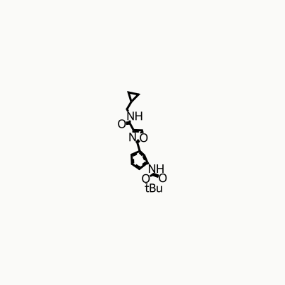 CC(C)(C)OC(=O)Nc1cccc(-c2nc(C(=O)NCC3CC3)co2)c1